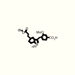 CCCn1cc(Cc2ccc(C(=O)O)cc2OC)c2cc(CCC(=O)OC(C)(C)C)ccc21